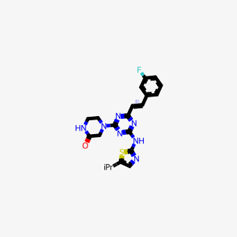 CC(C)c1cnc(Nc2nc(/C=C/c3cccc(F)c3)nc(N3CCNC(=O)C3)n2)s1